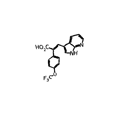 O=C(O)C(=Cc1c[nH]c2ncccc12)c1ccc(OC(F)(F)F)cc1